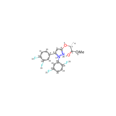 COC(=O)[C@@H](C)Oc1cc(-c2ccc(F)c(F)c2)n(-c2cc(F)ccc2F)n1